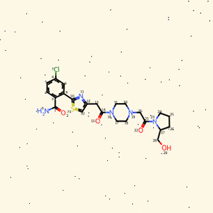 NC(=O)c1ccc(Cl)cc1-c1nc(CC(=O)N2CCN(CC(=O)N3CCCC3CO)CC2)cs1